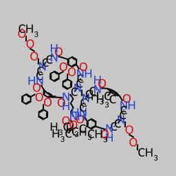 CCCOCCOCCN1CCNC(=O)c2ccc(c(C)c2C)C(=O)NCCN(CCN2CCNC(=O)c3ccc(c(OCc4ccccc4)c3OCc3ccccc3)C(=O)NCCN(CCOCCOCCOC)CCNC(=O)c3ccc(c(OCc4ccccc4)c3OCc3ccccc3)C(=O)NC(CCCCNC(=O)OC(C)(C)C)C2)CCNC(=O)c2ccc(c(C)c2C)C(=O)NCC1